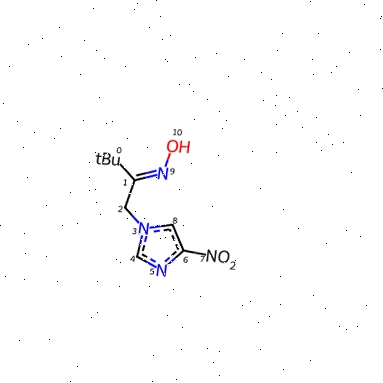 CC(C)(C)C(Cn1cnc([N+](=O)[O-])c1)=NO